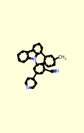 Cc1cccc(-c2cccc3c4ccccc4n(-c4cc(C#N)cc(-c5ccncc5)c4)c23)c1